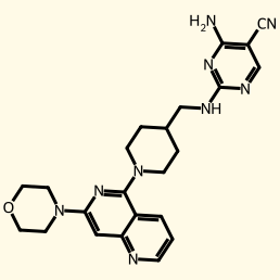 N#Cc1cnc(NCC2CCN(c3nc(N4CCOCC4)cc4ncccc34)CC2)nc1N